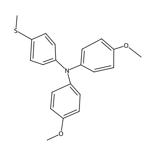 COc1ccc(N(c2ccc(OC)cc2)c2ccc(SC)cc2)cc1